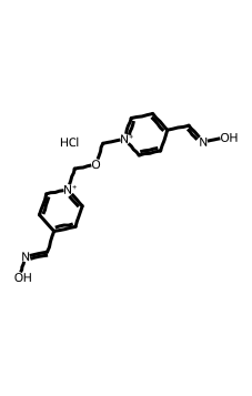 Cl.ON=Cc1cc[n+](COC[n+]2ccc(C=NO)cc2)cc1